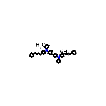 Cc1cccc(N(c2ccc(C=CC=Cc3ccccc3)cc2)c2ccc(-c3ccc(N(c4ccccc4)c4ccc(C=CC=Cc5ccccc5)c(C)c4)cc3)cc2)c1